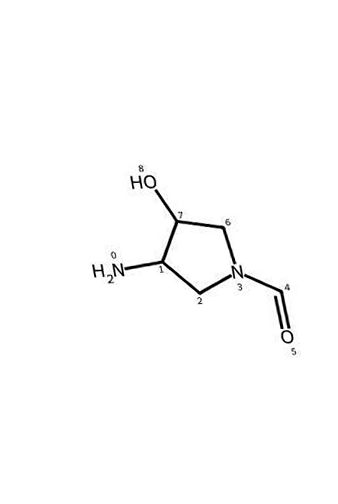 NC1CN(C=O)CC1O